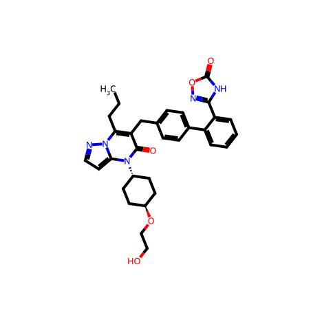 CCCc1c(Cc2ccc(-c3ccccc3-c3noc(=O)[nH]3)cc2)c(=O)n([C@H]2CC[C@H](OCCO)CC2)c2ccnn12